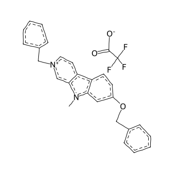 Cn1c2cc(OCc3ccccc3)ccc2c2cc[n+](Cc3ccccc3)cc21.O=C([O-])C(F)(F)F